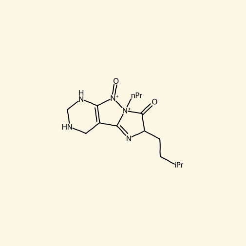 CCC[N+]12C(=O)C(CCC(C)C)N=C1C1=C(NCNC1)[N+]2=O